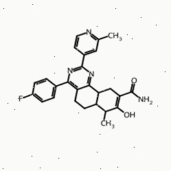 Cc1cc(-c2nc(-c3ccc(F)cc3)c3c(n2)C2CC(C(N)=O)=C(O)C(C)C2CC3)ccn1